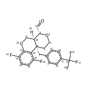 O=C[C@@H]1OCC[C@@]2(Cc3ccc(C(F)(F)F)cc3)c3c(F)ccc(F)c3OC[C@@H]12